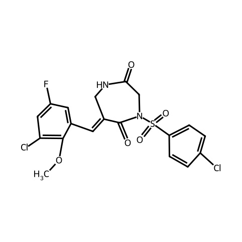 COc1c(Cl)cc(F)cc1C=C1CNC(=O)CN(S(=O)(=O)c2ccc(Cl)cc2)C1=O